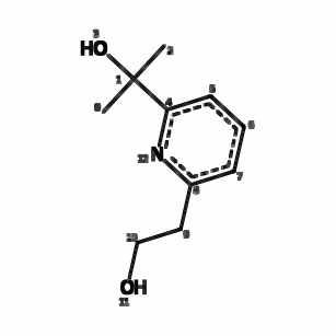 CC(C)(O)c1cccc(CCO)n1